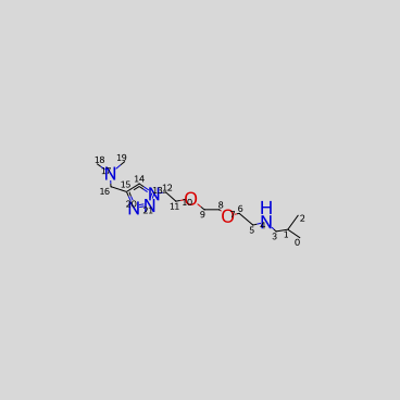 CC(C)CNCCOCCOCCn1cc(CN(C)C)nn1